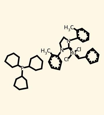 C1CCC(P(C2CCCCC2)C2CCCCC2)CC1.Cc1ccccc1N1CCN(c2ccccc2C)[C]1=[Ru]([Cl])([Cl])=[CH]c1ccccc1